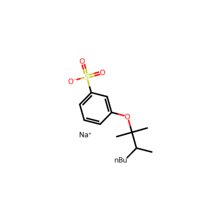 CCCCC(C)C(C)(C)Oc1cccc(S(=O)(=O)[O-])c1.[Na+]